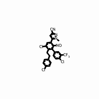 Cn1nc(C#N)cc1-c1cc(Cl)c(CCc2ccc(Cl)cc2)c(-c2ccc(Cl)c(C(F)(F)F)c2)c1N=O